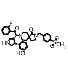 CS(=O)(=O)c1ccc(CN2CCC3(CCN(C(C(=O)c4ccccc4F)[C@@H]4CNC[C@@H]4c4ccccc4)CC3)C2=O)cc1.Cl